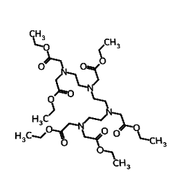 CCOC(=O)CN(CCN(CCN(CC(=O)OCC)CC(=O)OCC)CC(=O)OCC)CCN(CC(=O)OCC)CC(=O)OCC